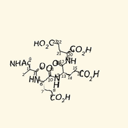 CC(=O)N[C@H](C)C(=O)N[C@@H](CCC(=O)O)C(=O)N[C@H](CCC(=O)O)C(=O)N[C@@H](CCC(=O)O)C(=O)O